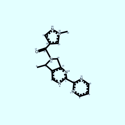 CC1c2cnc(-c3ncccn3)nc2CN1C(=O)c1cnn(C)c1